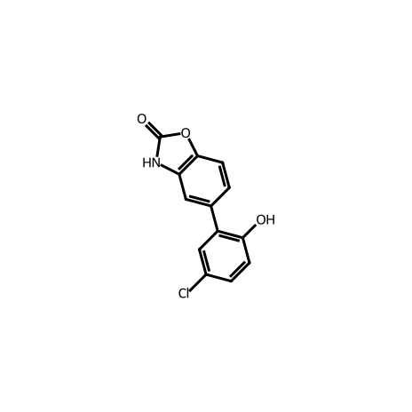 O=c1[nH]c2cc(-c3cc(Cl)ccc3O)ccc2o1